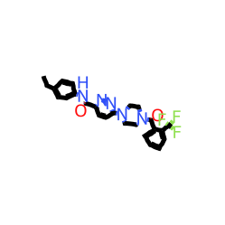 CCc1ccc(NC(=O)c2ccc(N3CCN(C(=O)c4ccccc4C(F)(F)F)CC3)nn2)cc1